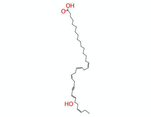 CC/C=C\C[C@H](O)/C=C/C#CC/C=C\C/C=C\C/C=C\CCCCCCCCCCCCCCC(=O)O